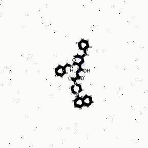 C\C=C(/C=C(C(=O)NCc1ccccc1)/C(O)=C/C(=O)C(=O)N1CCN(c2cccc3ccccc23)CC1)Cc1ccccc1